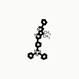 CC1(C)c2cc(-c3ccccc3)cnc2-c2ncc(-c3ccc(-c4nc(-c5ccccc5)nc(-c5ccccc5)n4)cc3)cc21